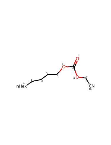 CCCCCCCCCCOC(=O)OCC#N